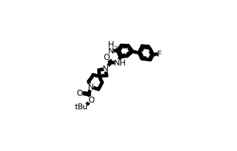 CC(C)(C)OC(=O)N1CCC2(CC1)CN(C(=O)Nc1cc(-c3ccc(F)cc3)ccc1N)C2